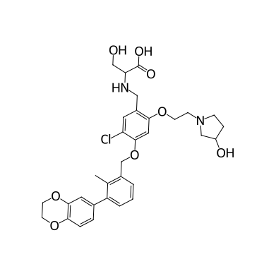 Cc1c(COc2cc(OCCN3CCC(O)C3)c(CNC(CO)C(=O)O)cc2Cl)cccc1-c1ccc2c(c1)OCCO2